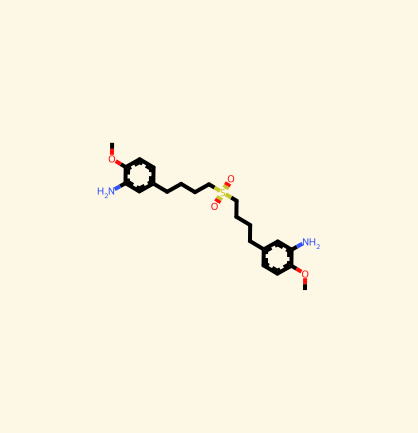 COc1ccc(CCCCS(=O)(=O)CCCCc2ccc(OC)c(N)c2)cc1N